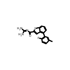 Cc1ccc(F)c(-c2cccc3sc(C(=O)N=C(N)N)cc23)c1